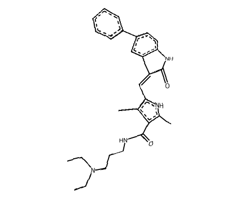 CCN(CC)CCCNC(=O)c1c(C)[nH]c(/C=C2\C(=O)Nc3ccc(-c4ccccc4)cc32)c1C